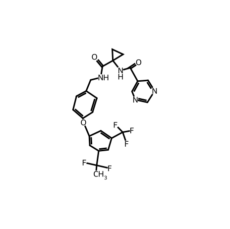 CC(F)(F)c1cc(Oc2ccc(CNC(=O)C3(NC(=O)c4cncnc4)CC3)cc2)cc(C(F)(F)F)c1